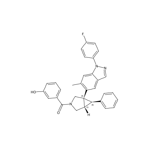 Cc1cc2c(cnn2-c2ccc(F)cc2)cc1[C@]12CN(C(=O)c3cccc(O)c3)C[C@H]1[C@@H]2c1ccccc1